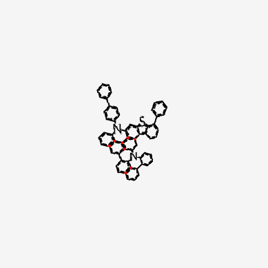 c1ccc(-c2ccc(N(c3ccc4c(c3)sc3c(-c5ccccc5)cccc34)c3ccccc3-c3cccc(N(c4ccccc4-c4ccccc4)c4ccccc4-c4ccccc4)c3)cc2)cc1